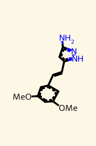 COc1cc(C=Cc2cc(N)n[nH]2)cc(OC)c1